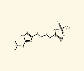 CN(C)Cc1cc(CSCCC(=N)NS(N)(=O)=O)cs1